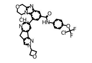 C[C@@H]1COCc2nc3cc(C(=O)Nc4ccc(OC(F)(F)Cl)cc4)cc(-c4cnc5c(c4)-c4nn(C6COC6)cc4C5)c3n21